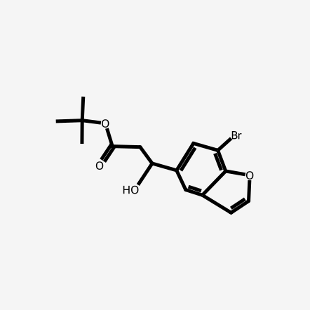 CC(C)(C)OC(=O)CC(O)c1cc(Br)c2occc2c1